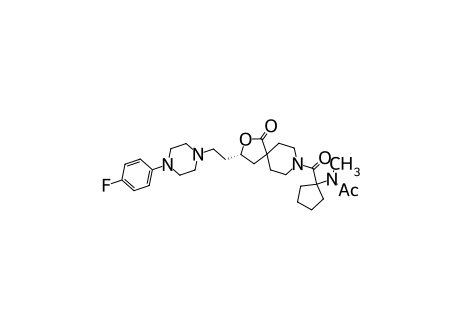 CC(=O)N(C)C1(C(=O)N2CCC3(CC2)C[C@H](CCN2CCN(c4ccc(F)cc4)CC2)OC3=O)CCCC1